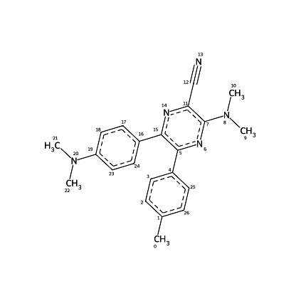 Cc1ccc(-c2nc(N(C)C)c(C#N)nc2-c2ccc(N(C)C)cc2)cc1